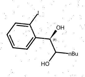 CCCCC(O)[C@H](O)c1ccccc1I